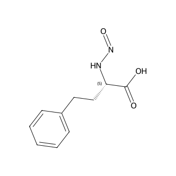 O=NN[C@@H](CCc1ccccc1)C(=O)O